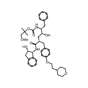 COCC(C)(C)OC(=O)N[C@@H](Cc1ccccc1)[C@@H](O)C[C@@H](Cc1ccc(OCCN2CCOCC2)cc1)C(=O)N[C@H]1c2ccccc2C[C@H]1O